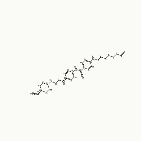 C=CCCCCCCOc1ccc(C(=O)Oc2ccc(OCCC[C@H]3CC[C@H](CCCCC)CC3)cc2)cc1